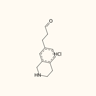 Cl.O=CCCc1ccc2c(c1)CNCC2